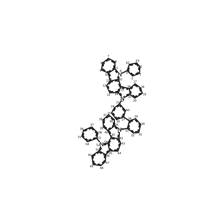 c1ccc(-n2c3ccccc3c3ccc4c(c5ccccc5n4-c4cccc(-c5ccccc5-n5c6ccccc6c6c5ccc5c7ccccc7n(-c7ccccc7)c56)c4)c32)cc1